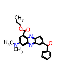 CCCOC(=O)c1cc(N(C)C)cc2nc3cc(C(=O)c4ccccc4)ccc3nc12